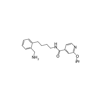 CC(C)Oc1cc(C(=O)NCCCCc2ccccc2CN)ccn1